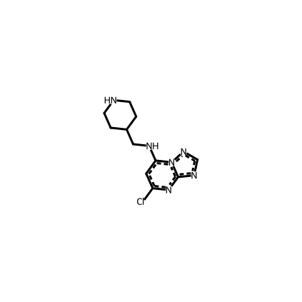 Clc1cc(NCC2CCNCC2)n2ncnc2n1